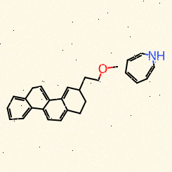 C1=CC=CNC=C1.COCCC1C=c2c(ccc3c2=CCc2ccccc2-3)CC1